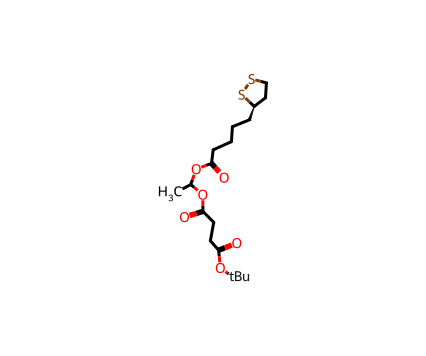 CC(OC(=O)CCCC[C@@H]1CCSS1)OC(=O)CCC(=O)OC(C)(C)C